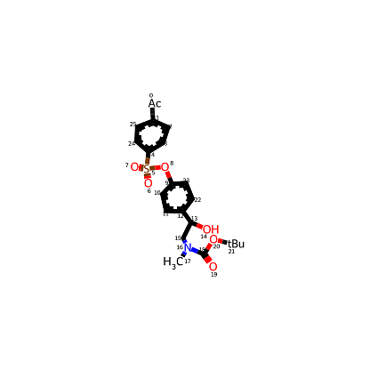 CC(=O)c1ccc(S(=O)(=O)Oc2ccc(C(O)CN(C)C(=O)OC(C)(C)C)cc2)cc1